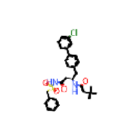 CC(C)(C)CC(=O)N[C@@H](CC(=O)NS(=O)(=O)Cc1ccccc1)Cc1ccc(-c2cccc(Cl)c2)cc1